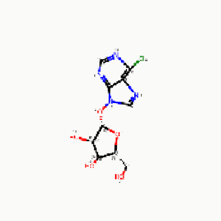 OC[C@H]1O[C@@H](On2cnc3c(Cl)ncnc32)[C@H](O)[C@@H]1O